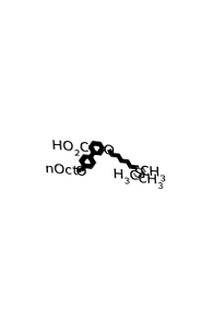 CCCCCCCCOc1ccc(-c2cc(OCCCCCC[Si](C)(C)C)ccc2C(=O)O)cc1